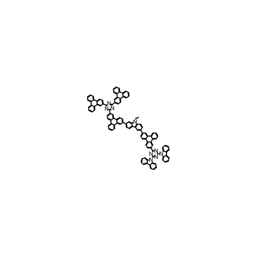 CCn1c2ccc(-c3ccc4c5ccc(-c6nc(-n7c8ccccc8c8ccccc87)nc(-n7c8ccccc8c8ccccc87)n6)cc5c5ccccc5c4c3)cc2c2ccc(-c3ccc4c(c3)c3ccccc3c3ccc(-c5nc(-c6ccc7c8ccccc8c8ccccc8c7c6)nc(-c6ccc7c8ccccc8c8ccccc8c7c6)n5)cc34)cc21